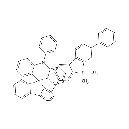 CC1(C)c2cc(-c3ccccc3)ccc2-c2ccc(-c3cccc4c3C3(c5ccccc5-4)c4ccccc4N(c4ccccc4)c4ccccc43)cc21